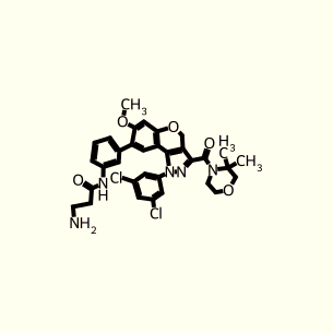 COc1cc2c(cc1-c1cccc(NC(=O)CCN)c1)-c1c(c(C(=O)N3CCOCC3(C)C)nn1-c1cc(Cl)cc(Cl)c1)CO2